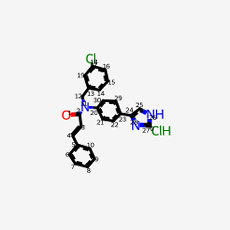 Cl.O=C(C=Cc1ccccc1)N(Cc1cccc(Cl)c1)c1ccc(-c2c[nH]cn2)cc1